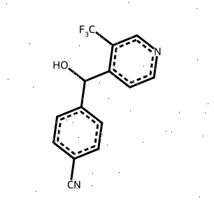 N#Cc1ccc(C(O)c2ccncc2C(F)(F)F)cc1